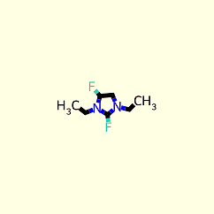 CCN1CC(F)N(CC)C1F